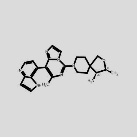 Cc1nc(N2CCC3(CC2)CO[C@@H](C)[C@H]3N)n2ccnc2c1-c1ccnc2cc[nH]c12